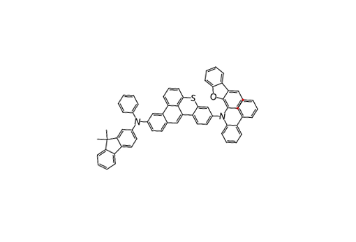 CC1(C)c2ccccc2-c2ccc(N(c3ccccc3)c3ccc4cc5c6c(cccc6c4c3)Sc3cc(N(c4ccccc4-c4ccccc4)c4cccc6c4oc4ccccc46)ccc3-5)cc21